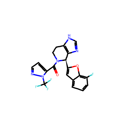 O=C(c1ccnn1C(F)(F)F)N1CCc2[nH]cnc2[C@H]1c1cc2cccc(F)c2o1